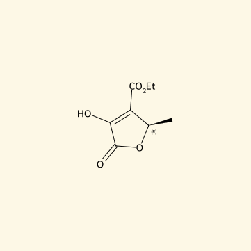 CCOC(=O)C1=C(O)C(=O)O[C@@H]1C